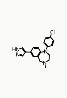 CN1CCN(c2ccc(Cl)cc2)c2ccc(-c3cn[nH]c3)cc2C1